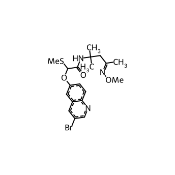 CON=C(C)CC(C)(C)NC(=O)C(Oc1ccc2ncc(Br)cc2c1)SC